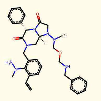 C=Cc1cccc(CN2C[C@H]3N(C(=O)CN3N(CCC)COCNCc3ccccc3)[C@@H](c3ccccc3)C2=O)c1N(C)N